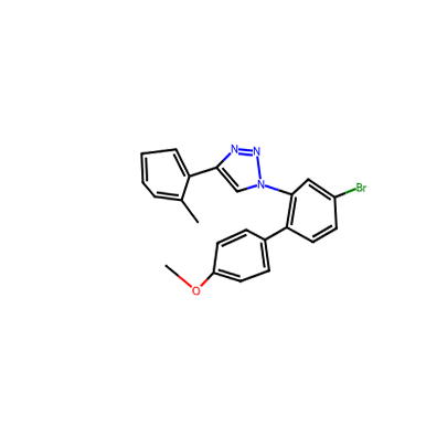 COc1ccc(-c2ccc(Br)cc2-n2cc(-c3ccccc3C)nn2)cc1